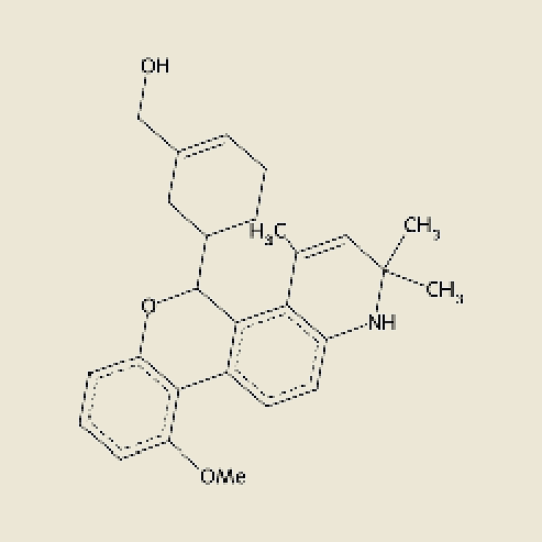 COc1cccc2c1-c1ccc3c(c1C(C1CCC=C(CO)C1)O2)C(C)=CC(C)(C)N3